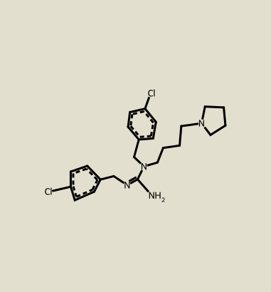 NC(=NCc1ccc(Cl)cc1)N(CCCCN1CCCC1)Cc1ccc(Cl)cc1